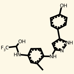 Cc1cc(NC(O)C(F)(F)F)ccc1Nc1cc(-c2ccc(O)cc2)[nH]n1